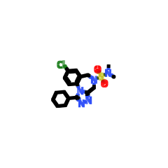 CN(C)S(=O)(=O)N1Cc2cc(Cl)ccc2-n2c(nnc2C2CCCCC2)C1